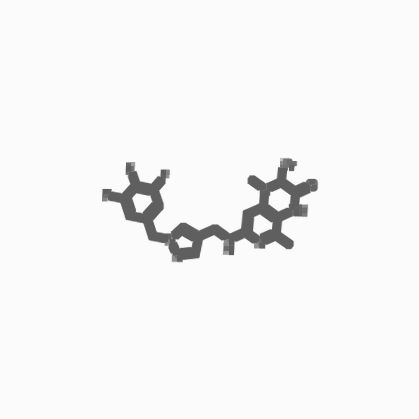 Cc1nc(NCc2cnn(Cc3cc(F)c(F)c(F)c3)c2)cc2c1NC(=O)C(C(C)C)N2C